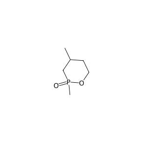 CC1CCOP(C)(=O)C1